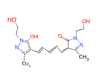 CC1=NN(CCO)C(=O)\C1=C/C=C/C=C/c1c(C)nn(CCO)c1O